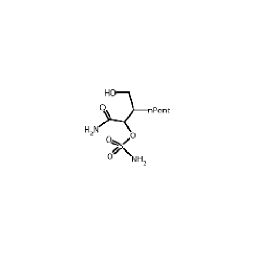 CCCCCC(CO)C(OS(N)(=O)=O)C(N)=O